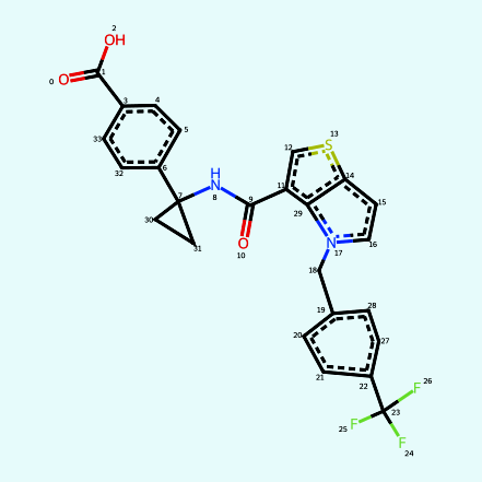 O=C(O)c1ccc(C2(NC(=O)c3csc4ccn(Cc5ccc(C(F)(F)F)cc5)c34)CC2)cc1